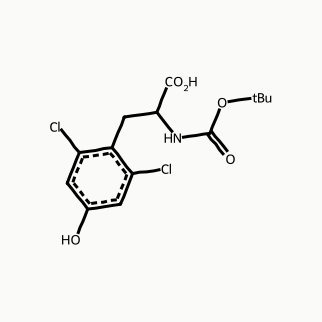 CC(C)(C)OC(=O)NC(Cc1c(Cl)cc(O)cc1Cl)C(=O)O